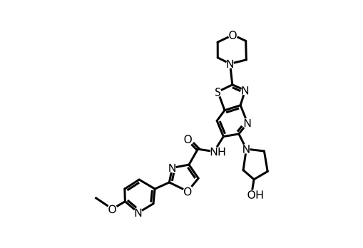 COc1ccc(-c2nc(C(=O)Nc3cc4sc(N5CCOCC5)nc4nc3N3CCC(O)C3)co2)cn1